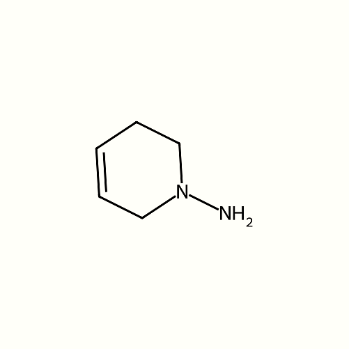 NN1CC=CCC1